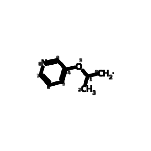 [CH2]C(C)Oc1cccnc1